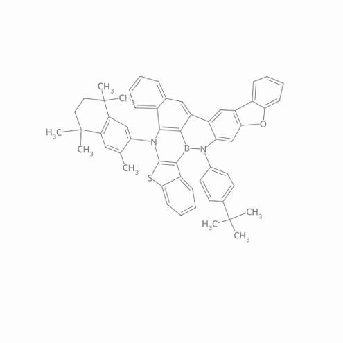 Cc1cc2c(cc1N1c3sc4ccccc4c3B3c4c(cc5ccccc5c41)-c1cc4c(cc1N3c1ccc(C(C)(C)C)cc1)oc1ccccc14)C(C)(C)CCC2(C)C